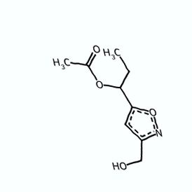 CCC(OC(C)=O)c1cc(CO)no1